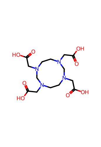 O=C(O)CN1CCN(CC(=O)O)CN(CC(=O)O)CCN(CC(=O)O)C1